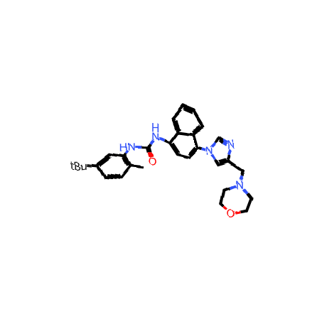 Cc1ccc(C(C)(C)C)cc1NC(=O)Nc1ccc(-n2cnc(CN3CCOCC3)c2)c2ccccc12